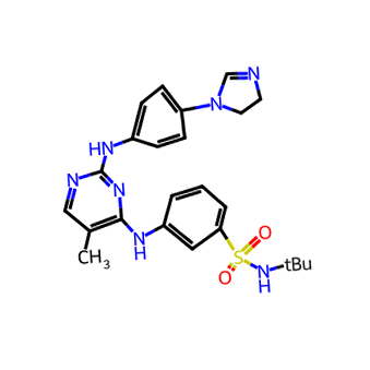 Cc1cnc(Nc2ccc(N3C=NCC3)cc2)nc1Nc1cccc(S(=O)(=O)NC(C)(C)C)c1